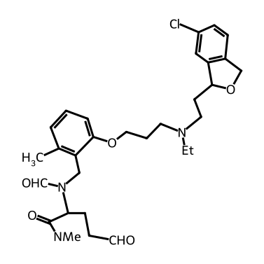 CCN(CCCOc1cccc(C)c1CN(C=O)C(CCC=O)C(=O)NC)CCC1OCc2ccc(Cl)cc21